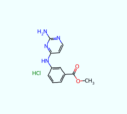 COC(=O)c1cccc(Nc2ccnc(N)n2)c1.Cl